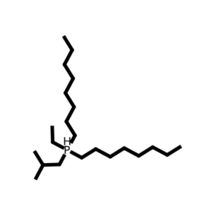 CCCCCCCC[PH](CC)(CCCCCCCC)CC(C)C